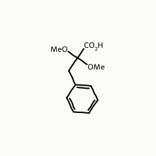 COC(Cc1ccccc1)(OC)C(=O)O